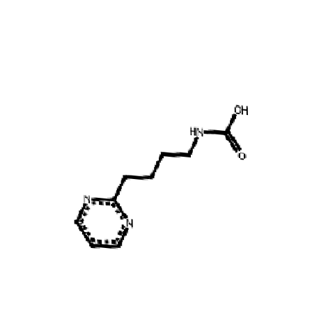 O=C(O)NCCCCc1ncccn1